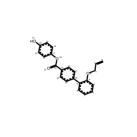 C=CCOc1ccccc1-c1ccc(C(=O)Oc2ccc(O)cc2)cc1